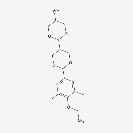 CCCC1COC(C2COC(c3cc(F)c(OCC(F)(F)F)c(F)c3)OC2)OC1